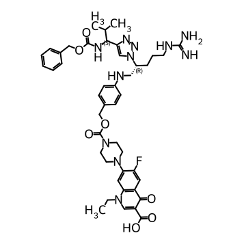 CCn1cc(C(=O)O)c(=O)c2cc(F)c(N3CCN(C(=O)OCc4ccc(NC[C@@H](CCCNC(=N)N)n5cc([C@@H](NC(=O)OCc6ccccc6)C(C)C)nn5)cc4)CC3)cc21